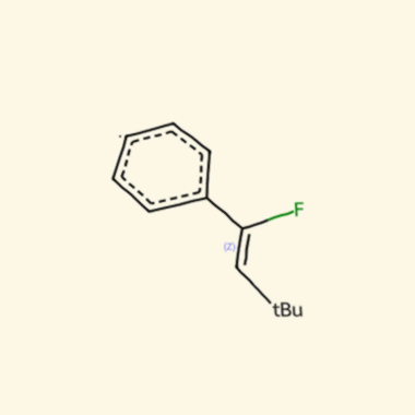 CC(C)(C)/C=C(\F)c1cc[c]cc1